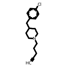 C#CCCCN1CCC(Cc2ccc(Cl)cc2)CC1